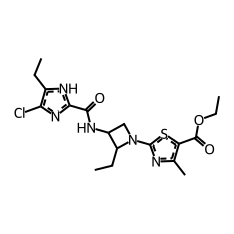 CCOC(=O)c1sc(N2CC(NC(=O)c3nc(Cl)c(CC)[nH]3)C2CC)nc1C